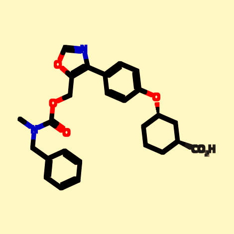 CN(Cc1ccccc1)C(=O)OCc1ocnc1-c1ccc(O[C@H]2CCC[C@H](C(=O)O)C2)cc1